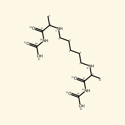 CC(NCCCCCNC(C)C(=O)NC(=O)O)C(=O)NC(=O)O